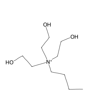 CCCC[N+](CCO)(CCO)CCO